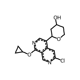 OC1CCOC(c2cnc(OC3CC3)c3cnc(Cl)cc23)C1